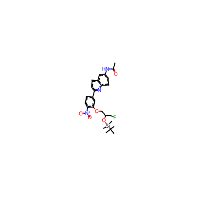 CC(=O)Nc1ccc2nc(-c3ccc([N+](=O)[O-])c(OCC(CF)O[Si](C)(C)C(C)(C)C)c3)ccc2c1